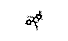 O=CC1C(c2ccccc2)=C(CCBr)Oc2ccc(Br)cc21